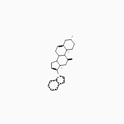 C[C@]12CC[C@H](O)CC1=CCC1C2C(=O)C[C@]2(C)C(n3ccc4ccccc43)=CCC12